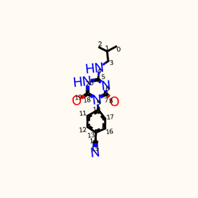 CC(C)CNc1nc(=O)n(-c2ccc(C#N)cc2)c(=O)[nH]1